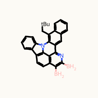 Bc1nc2c3cc4ccccc4c(CC(C)(C)C)c3n3c4ccccc4c4ccc(c1B)c2c43